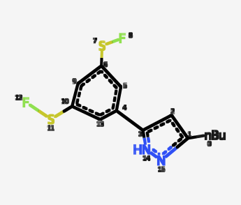 CCCCc1cc(-c2cc(SF)cc(SF)c2)[nH]n1